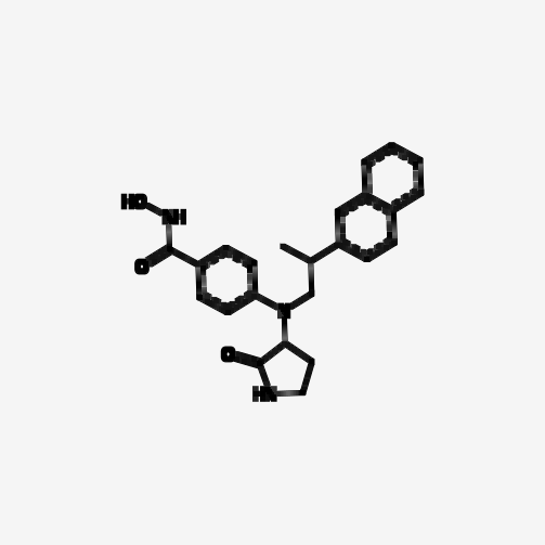 CC(CN(c1ccc(C(=O)NO)cc1)C1CCNC1=O)c1ccc2ccccc2c1